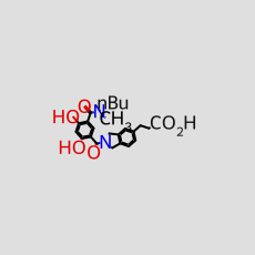 CCCCN(C)C(=O)c1cc(C(=O)N2Cc3ccc(CCC(=O)O)cc3C2)c(O)cc1O